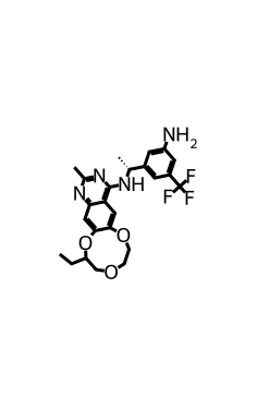 CCC1COCCOc2cc3c(N[C@H](C)c4cc(N)cc(C(F)(F)F)c4)nc(C)nc3cc2O1